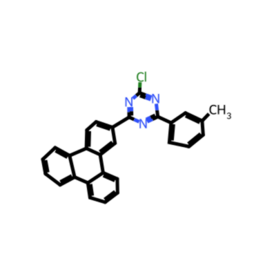 Cc1cccc(-c2nc(Cl)nc(-c3ccc4c5ccccc5c5ccccc5c4c3)n2)c1